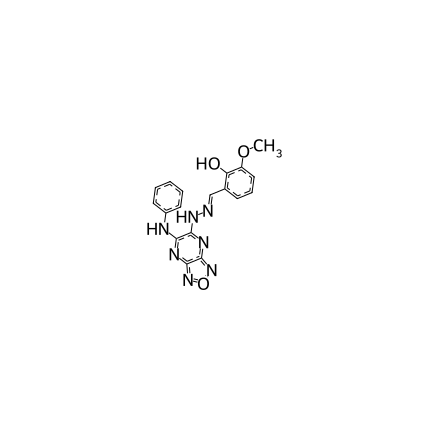 COc1cccc(C=NNc2nc3nonc3nc2Nc2ccccc2)c1O